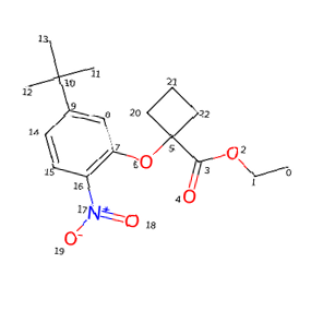 CCOC(=O)C1(Oc2cc(C(C)(C)C)ccc2[N+](=O)[O-])CCC1